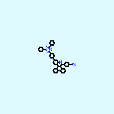 N#Cc1ccc(-c2nc3cc(-c4ccc(-c5nc(-c6ccccc6)nc(-c6ccccc6)n5)cc4)ccc3c3c4ccccc4c4ccccc4c23)cc1